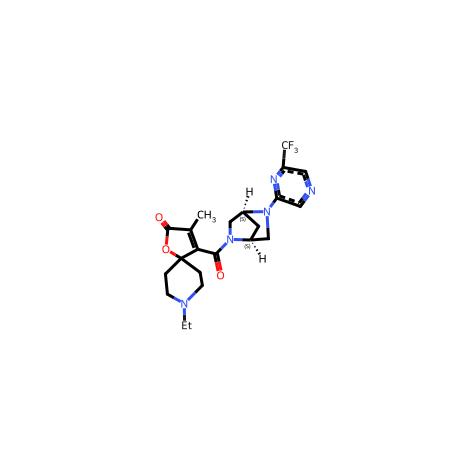 CCN1CCC2(CC1)OC(=O)C(C)=C2C(=O)N1C[C@@H]2C[C@H]1CN2c1cncc(C(F)(F)F)n1